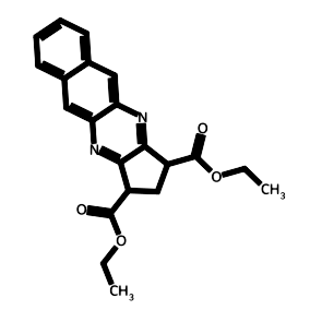 CCOC(=O)C1CC(C(=O)OCC)c2nc3cc4ccccc4cc3nc21